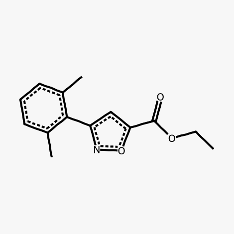 CCOC(=O)c1cc(-c2c(C)cccc2C)no1